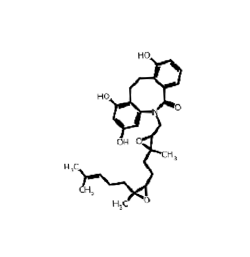 CC(C)=CCCC1(C)OC1CCC1(C)OC1CN1C(=O)c2cccc(O)c2CCc2c(O)cc(O)cc21